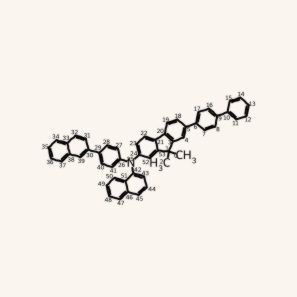 CC1(C)c2cc(-c3ccc(-c4ccccc4)cc3)ccc2-c2ccc(N(c3ccc(-c4ccc5ccccc5c4)cc3)c3cccc4ccccc34)cc21